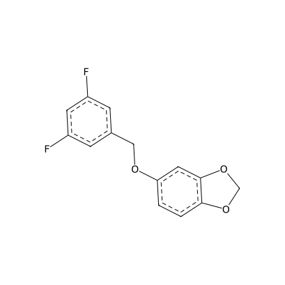 Fc1cc(F)cc(COc2ccc3c(c2)OCO3)c1